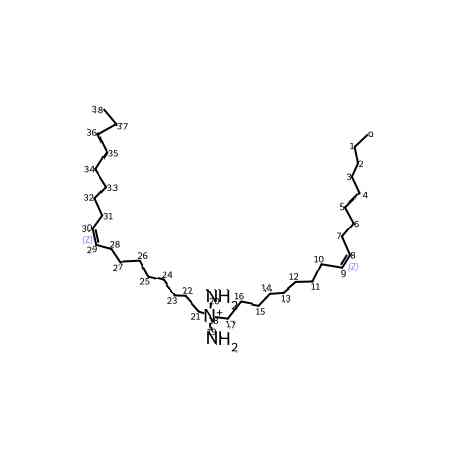 CCCCCCCC/C=C\CCCCCCCC[N+](N)(N)CCCCCCCC/C=C\CCCCCCCC